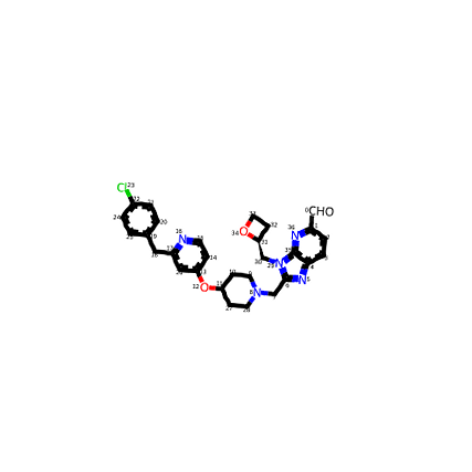 O=Cc1ccc2nc(CN3CCC(Oc4ccnc(Cc5ccc(Cl)cc5)c4)CC3)n(C[C@@H]3CCO3)c2n1